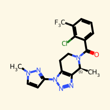 C[C@H]1c2nnn(-c3ccn(C)n3)c2CCN1C(=O)c1cccc(C(F)(F)F)c1Cl